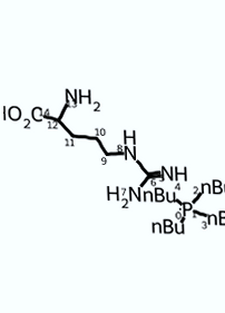 CCCC[P](CCCC)(CCCC)CCCC.N=C(N)NCCCC(N)C(=O)O